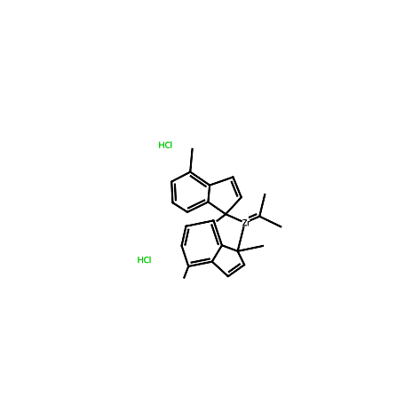 C[C](C)=[Zr]([C]1(C)C=Cc2c(C)cccc21)[C]1(C)C=Cc2c(C)cccc21.Cl.Cl